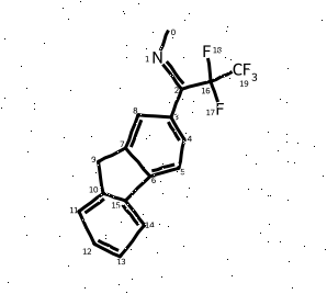 CN=C(c1ccc2c(c1)Cc1ccccc1-2)C(F)(F)C(F)(F)F